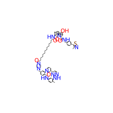 Cc1ccc(NC(=O)c2ccc(CN3CCN(C(=O)CCCCCCCCCCCCC(=O)N[C@H](C(=O)N4C[C@H](O)C[C@H]4C(=O)NCc4ccc(-c5scnc5C)cc4)C(C)(C)C)CC3)cc2)cc1Nc1nccc(-c2cccnc2)n1